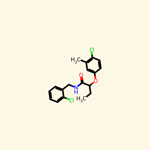 CCC(Oc1ccc(Cl)c(C)c1)C(=O)NCc1ccccc1Cl